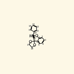 COc1ccccc1C1(C#Cc2ccccc2)OCCO1